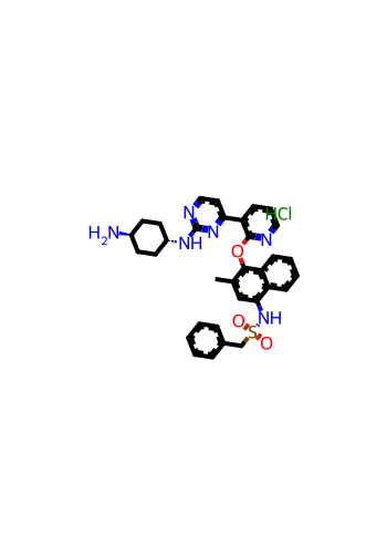 Cc1cc(NS(=O)(=O)Cc2ccccc2)c2ccccc2c1Oc1ncccc1-c1ccnc(N[C@H]2CC[C@H](N)CC2)n1.Cl